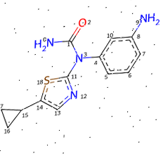 NC(=O)N(c1cccc(N)c1)c1ncc(C2CC2)s1